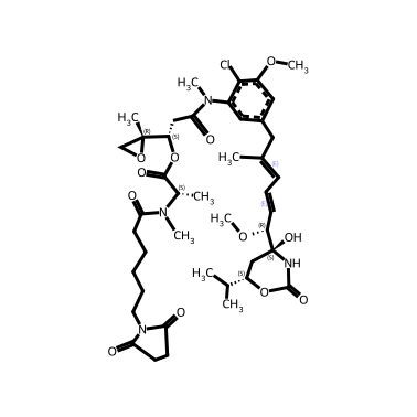 COc1cc(C/C(C)=C/C=C/[C@@H](OC)[C@@]2(O)C[C@@H](C(C)C)OC(=O)N2)cc(N(C)C(=O)C[C@H](OC(=O)[C@H](C)N(C)C(=O)CCCCCN2C(=O)CCC2=O)[C@@]2(C)CO2)c1Cl